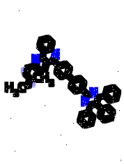 C/C=C\C=C/c1nc2c(cc1C)c(-c1ccc(-c3ccc(-c4nc(-c5ccccc5)c(-c5ccccc5)c(-c5ccccc5)n4)cc3)cc1)nc1ccccc12